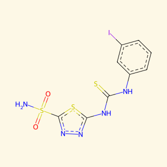 NS(=O)(=O)c1nnc(NC(=S)Nc2cccc(I)c2)s1